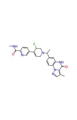 CNC(=O)c1ccc(C2=CCN(C(C)c3ccc4c(c3)[nH]c(=O)c3c(C)cnn34)CC2F)cn1